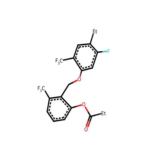 CCC(=O)Oc1cccc(C(F)(F)F)c1COc1cc(F)c(CC)cc1C(F)(F)F